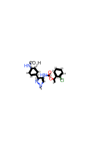 CC(OC(=O)Nc1cn(C)nc1-c1ccc(NC(=O)O)cc1)c1ccccc1Cl